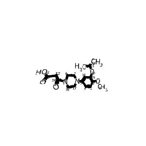 COc1ccc(N2CCN(C(=O)CC(=O)O)CC2)cc1OC(C)C